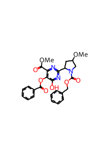 COC(=O)c1nc(C2CC(OC)CN2C(=O)OCc2ccccc2)nc(O)c1OC(=O)c1ccccc1